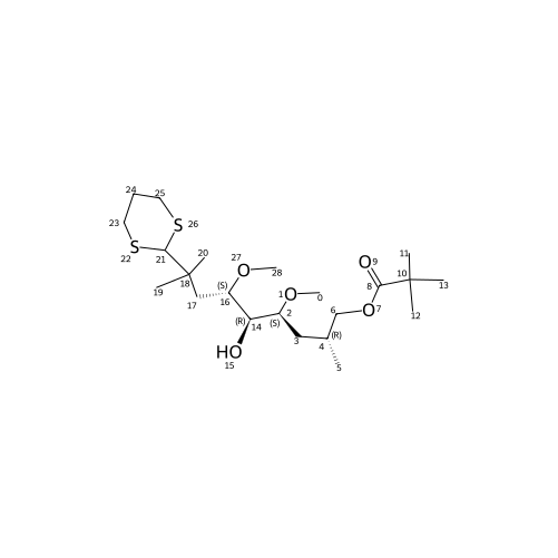 CO[C@@H](C[C@@H](C)COC(=O)C(C)(C)C)[C@@H](O)[C@H](CC(C)(C)C1SCCCS1)OC